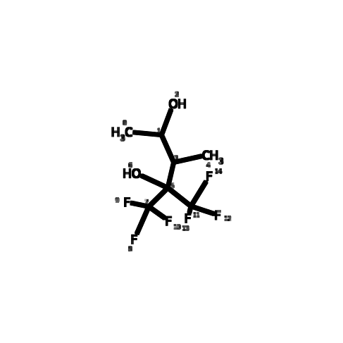 CC(O)C(C)C(O)(C(F)(F)F)C(F)(F)F